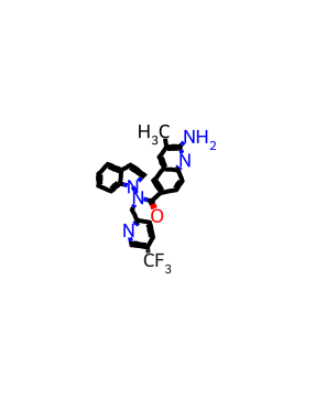 Cc1cc2cc(C(=O)N(Cc3ccc(C(F)(F)F)cn3)n3ccc4ccccc43)ccc2nc1N